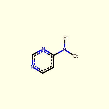 CCN(CC)c1ccncn1